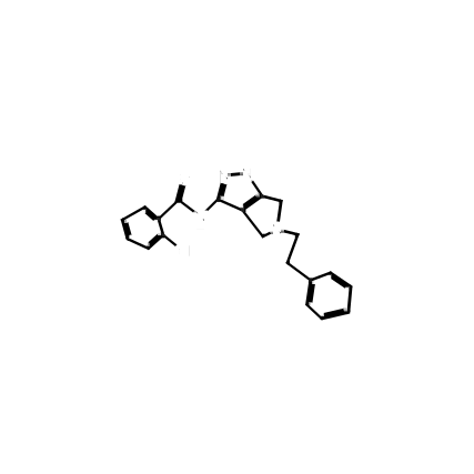 O=C(Nc1n[nH]c2c1CN(CCc1ccccc1)C2)c1ccccc1Cl